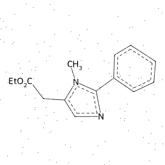 CCOC(=O)Cc1cnc(-c2ccccc2)n1C